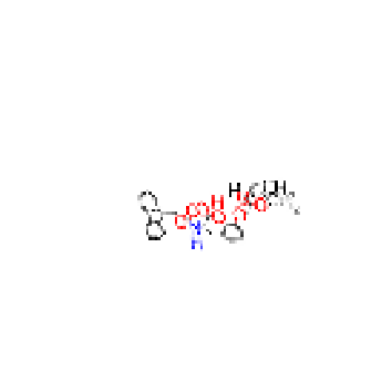 CC(C)(C)OC(=O)COc1cccc(C[C@@H](NC(=O)OCC2c3ccccc3-c3ccccc32)C(=O)O)c1